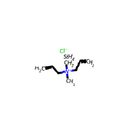 C=CC[N+](C)(C)CC=C.[Cl-].[SiH4]